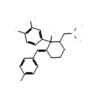 Cc1cc(C2(O)C(=Cc3ccc(Cl)cc3)CCCC2CN(C)C)ccc1F